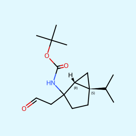 CC(C)[C@@]12CCC(CC=O)(NC(=O)OC(C)(C)C)[C@@H]1C2